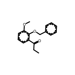 CCC(=O)c1cccc(OC)c1OCc1ccccc1